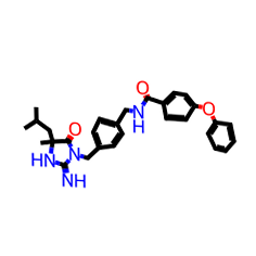 CC(C)CC1(C)NC(=N)N(Cc2ccc(CNC(=O)c3ccc(Oc4ccccc4)cc3)cc2)C1=O